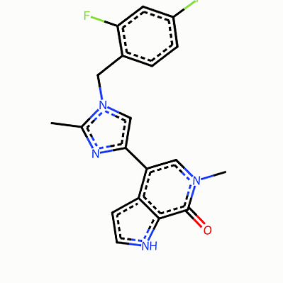 Cc1nc(-c2cn(C)c(=O)c3[nH]ccc23)cn1Cc1ccc(F)cc1F